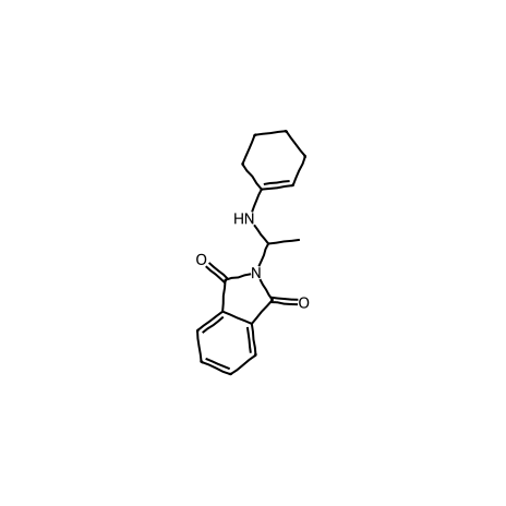 CC(NC1=CCCCC1)N1C(=O)c2ccccc2C1=O